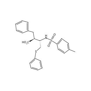 Cc1ccc(S(=O)(=O)N[C@H](CSc2ccccc2)[C@H](Cc2ccccc2)C(=O)O)cc1